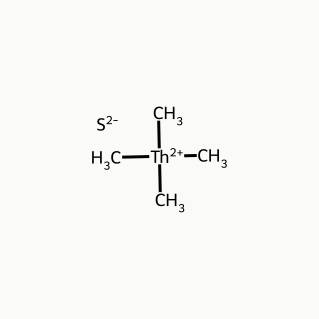 [CH3][Th+2]([CH3])([CH3])[CH3].[S-2]